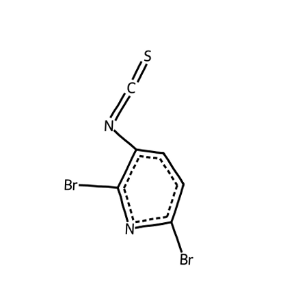 S=C=Nc1ccc(Br)nc1Br